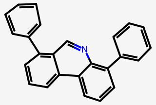 c1ccc(-c2cccc3c2cnc2c(-c4ccccc4)cccc23)cc1